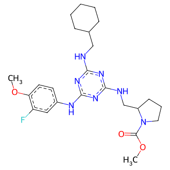 COC(=O)N1CCCC1CNc1nc(NCC2CCCCC2)nc(Nc2ccc(OC)c(F)c2)n1